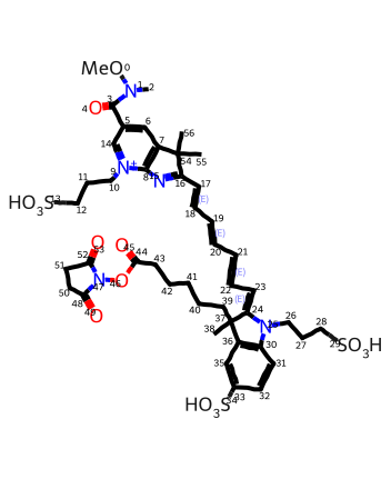 CON(C)C(=O)c1cc2c([n+](CCCS(=O)(=O)O)c1)N=C(/C=C/C=C/C=C/C=C1/N(CCCS(=O)(=O)O)c3ccc(S(=O)(=O)O)cc3C1(C)CCCCCC(=O)ON1C(=O)CCC1=O)C2(C)C